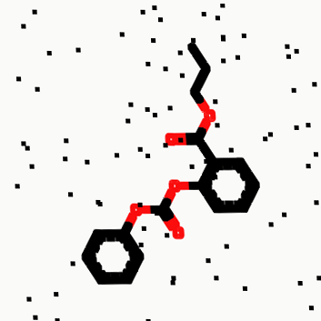 CCCOC(=O)c1ccccc1OC(=O)Oc1ccccc1